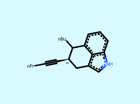 CCCC#C[C@@H]1Cc2c[nH]c3cccc(c23)C1CCCC